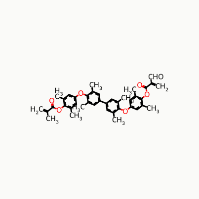 C=C(C)C(=O)Oc1c(C)cc(Oc2c(C)cc(-c3cc(C)c(Oc4cc(C)c(OC(=O)C(=C)C=O)c(C)c4)c(C)c3)cc2C)cc1C